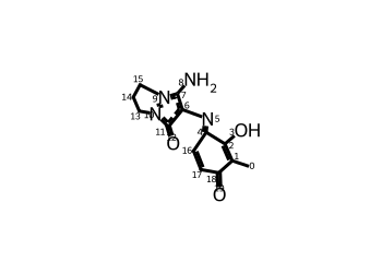 CC1=C(O)C(=Nc2c(N)n3n(c2=O)CCC3)C=CC1=O